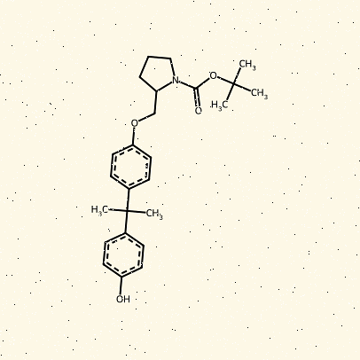 CC(C)(C)OC(=O)N1CCCC1COc1ccc(C(C)(C)c2ccc(O)cc2)cc1